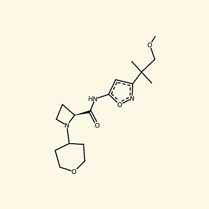 COCC(C)(C)c1cc(NC(=O)[C@@H]2CCN2C2CCOCC2)on1